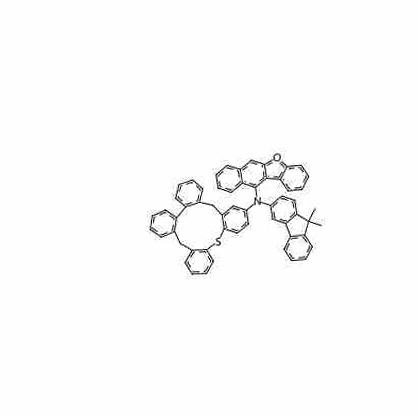 CC1(C)c2ccccc2-c2cc(N(c3ccc4c(c3)Cc3ccccc3-c3ccccc3Cc3ccccc3S4)c3c4ccccc4cc4oc5ccccc5c34)ccc21